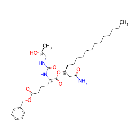 CCCCCCCCCCCCC[C@@H](CC(N)=O)OC(=O)[C@H](CCCC(=O)OCc1ccccc1)NC(=O)NC[C@H](C)O